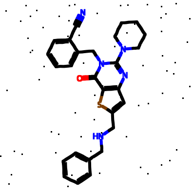 N#Cc1ccccc1Cn1c(N2CCCCC2)nc2cc(CNCc3ccccc3)sc2c1=O